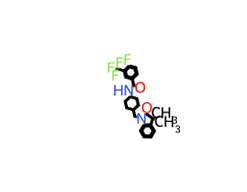 CC1(C)C(=O)N(CC2CCC(NC(=O)c3ccc(F)c(C(F)(F)F)c3)CC2)c2ccccc21